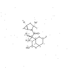 [2H][C@@]1(C)C[C@@H]2C[C@@H]2N1C(=O)[C@@]([2H])(N)C12CC(C)CC(CC(O)C1)C2